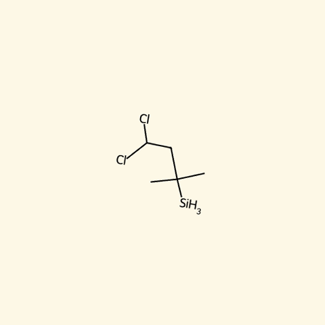 CC(C)([SiH3])CC(Cl)Cl